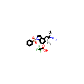 CC(C)(N)Cc1cccc2c1ccn2S(=O)(=O)c1ccccc1.O=C(O)C(F)(F)F